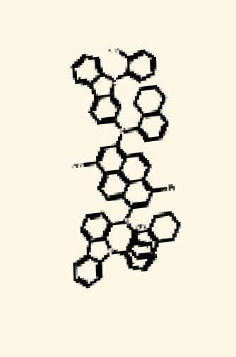 CCCc1ccccc1-n1c2ccccc2c2ccc(N(c3cccc4c3CCCC4)c3cc(CCC)c4ccc5c(N(c6cccc7c6CCCC7)c6cccc7c8ccccc8n(-c8ccccc8CCC)c67)cc(CCC)c6ccc3c4c65)cc21